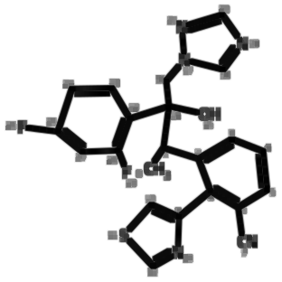 CC(c1cccc(C#N)c1-c1cscn1)C(O)(Cn1cncn1)c1ccc(F)cc1F